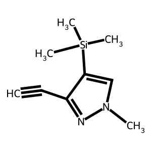 C#Cc1nn(C)cc1[Si](C)(C)C